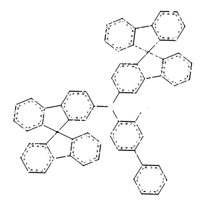 Cc1cc(-c2ccccc2)ccc1N(c1ccc2c(c1)-c1ccccc1C21c2ccccc2-c2ccccc21)c1ccc2c(c1)C1(c3ccccc3-c3ccccc31)c1ccccc1-2